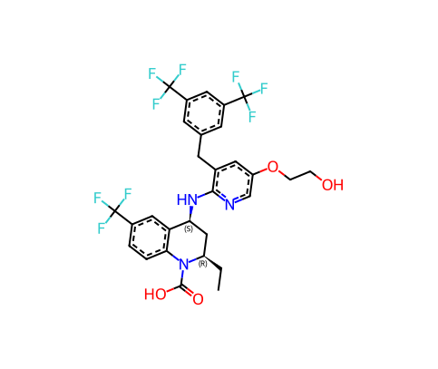 CC[C@@H]1C[C@H](Nc2ncc(OCCO)cc2Cc2cc(C(F)(F)F)cc(C(F)(F)F)c2)c2cc(C(F)(F)F)ccc2N1C(=O)O